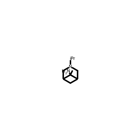 CC(C)N1CC2CC(C1)C2(C)N